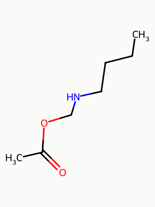 CCCCNCOC(C)=O